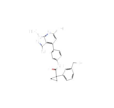 CCc1cccc(C2(C(=O)Nc3ccc(-c4cc(C)nc5c4c(N)nn5C)cc3)CC2)c1